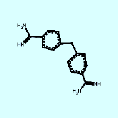 N=C(N)c1ccc(Cc2ccc(C(=N)N)cc2)cc1